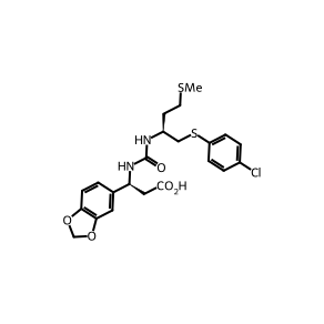 CSCC[C@@H](CSc1ccc(Cl)cc1)NC(=O)N[C@@H](CC(=O)O)c1ccc2c(c1)OCO2